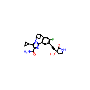 NC(=O)c1nc2n(c1C1CC1)C1CC(C1)c1cc(F)c(C#C[C@]3(O)CCNC3=O)cc1-2